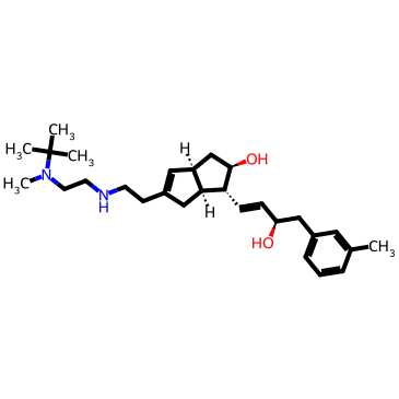 Cc1cccc(C[C@@H](O)/C=C/[C@@H]2[C@H]3CC(CCNCCN(C)C(C)(C)C)=C[C@H]3C[C@H]2O)c1